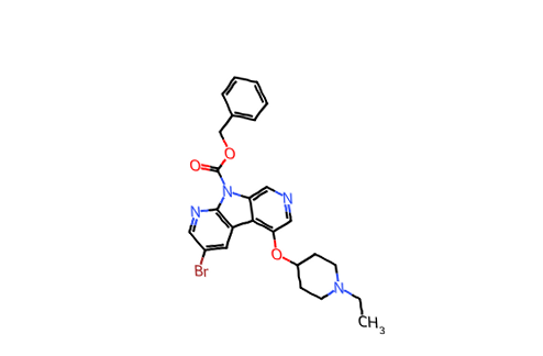 CCN1CCC(Oc2cncc3c2c2cc(Br)cnc2n3C(=O)OCc2ccccc2)CC1